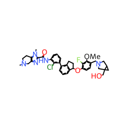 COc1c(CN2CC3CC3(CO)C2)ccc(OC2CCc3c(-c4cccc(NC(=O)c5nc6c(n5C)CCN(C)C6)c4Cl)cccc32)c1F